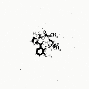 Cc1cccc(C(C)c2nccn2C(C)OC(=O)N(C)CCS(C)(=O)=O)c1C